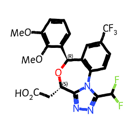 COc1cccc([C@@H]2O[C@@H](CC(=O)O)c3nnc(C(F)F)n3-c3ccc(C(F)(F)F)cc32)c1OC